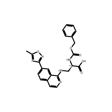 Cc1nc(-c2ccc3ccnc(NC[C@@H](NC(=O)OCc4ccccc4)C(=O)O)c3c2)no1